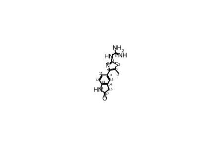 Cc1sc(NC(=N)N)nc1-c1ccc2c(c1)CC(=O)N2